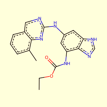 CCOC(=O)Nc1cc(Nc2ncc3cccc(C)c3n2)cc2[nH]cnc12